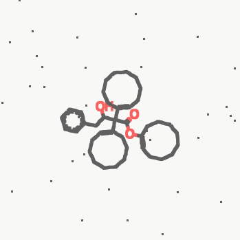 O=C(OC1=CCCCCCCCC1)C(C1=CCCCCCCCC1)(C1=CCCCCCCCC1)C(O)Cc1ccccc1